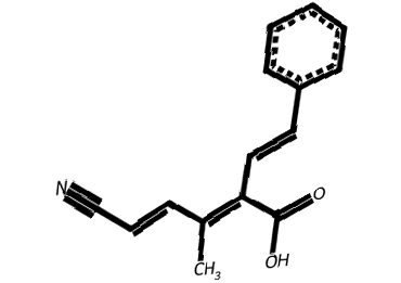 CC(C=CC#N)=C(C=Cc1ccccc1)C(=O)O